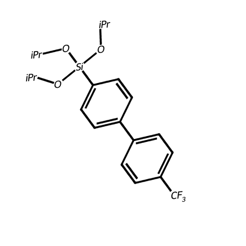 CC(C)O[Si](OC(C)C)(OC(C)C)c1ccc(-c2ccc(C(F)(F)F)cc2)cc1